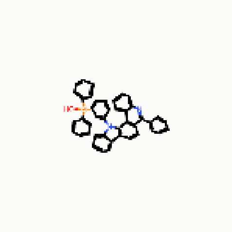 O[PH](c1ccccc1)(c1ccccc1)c1cccc(-n2c3ccccc3c3ccc4c(-c5ccccc5)nc5ccccc5c4c32)c1